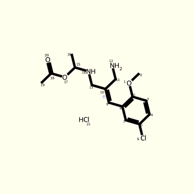 COc1ccc(Cl)cc1/C=C(\CN)CNC(C)OC(C)=O.Cl